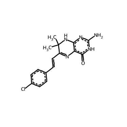 CC1(C)Nc2nc(N)[nH]c(=O)c2N=C1/C=C/c1ccc(Cl)cc1